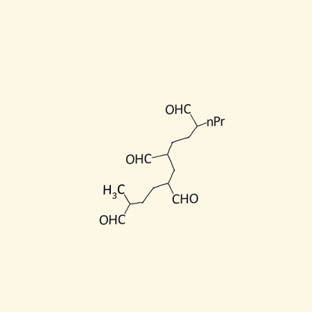 CCCC(C=O)CCC(C=O)CC(C=O)CCC(C)C=O